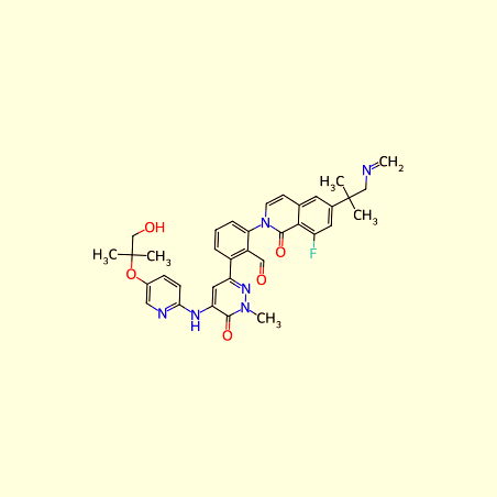 C=NCC(C)(C)c1cc(F)c2c(=O)n(-c3cccc(-c4cc(Nc5ccc(OC(C)(C)CO)cn5)c(=O)n(C)n4)c3C=O)ccc2c1